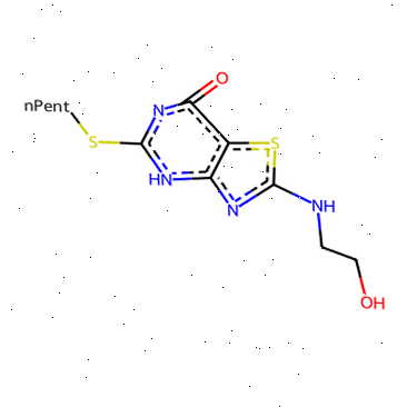 CCCCCSc1nc(=O)c2sc(NCCO)nc2[nH]1